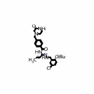 C/C=C/C(=N\NCc1cc(Cl)ccc1OCC(C)C)NC(=O)c1ccc(CN2CCNC(=O)C2)cc1